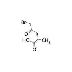 CC(=CC(=O)CBr)C(=O)O